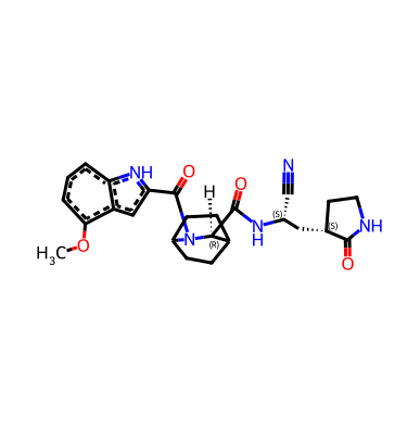 COc1cccc2[nH]c(C(=O)N3C4CCC(CC4)[C@@H]3C(=O)N[C@H](C#N)C[C@@H]3CCNC3=O)cc12